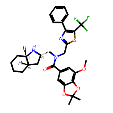 COc1cc(C(=O)N(Cc2nc(-c3ccccc3)c(C(F)(F)F)s2)C[C@@H]2C[C@@H]3CCCC[C@@H]3N2)cc2c1OC(C)(C)O2